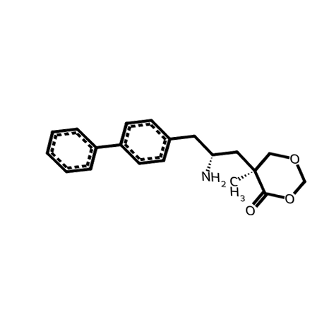 C[C@]1(C[C@H](N)Cc2ccc(-c3ccccc3)cc2)COCOC1=O